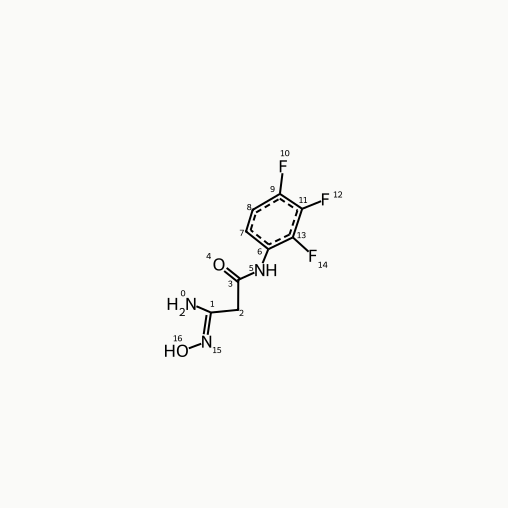 N/C(CC(=O)Nc1ccc(F)c(F)c1F)=N\O